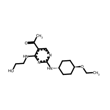 CCO[C@H]1CC[C@H](Nc2ncc(C(C)=O)c(NCCO)n2)CC1